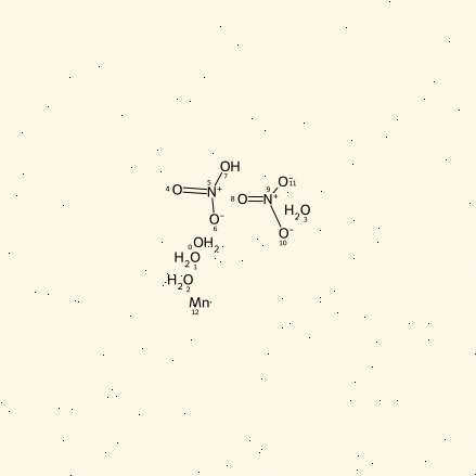 O.O.O.O.O=[N+]([O-])O.O=[N+]([O-])[O-].[Mn]